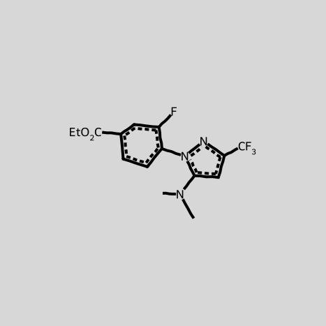 CCOC(=O)c1ccc(-n2nc(C(F)(F)F)cc2N(C)C)c(F)c1